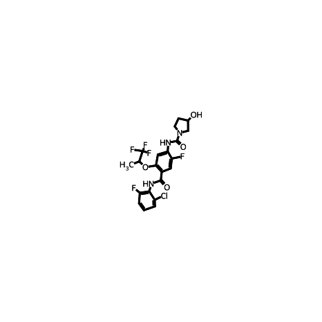 CC(Oc1cc(NC(=O)N2CCC(O)C2)c(F)cc1C(=O)Nc1c(F)cccc1Cl)C(F)(F)F